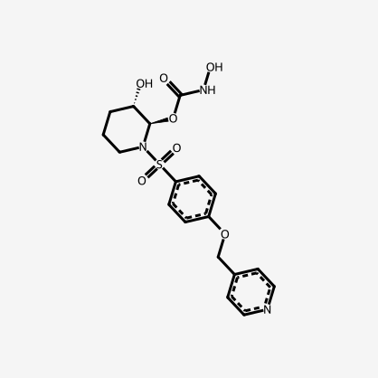 O=C(NO)O[C@@H]1[C@@H](O)CCCN1S(=O)(=O)c1ccc(OCc2ccncc2)cc1